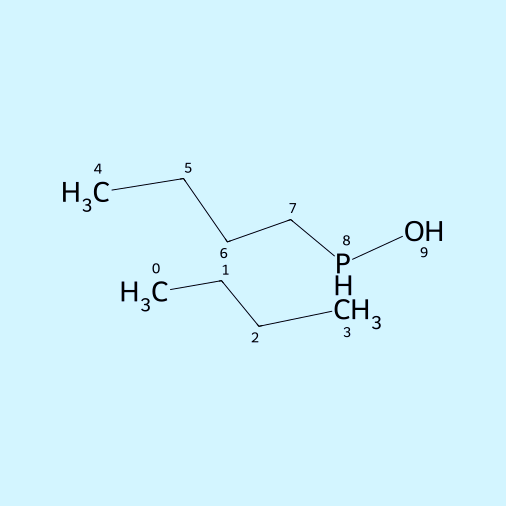 CCCC.CCCCPO